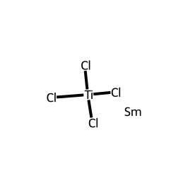 [Cl][Ti]([Cl])([Cl])[Cl].[Sm]